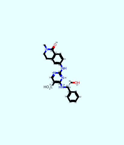 CN1CCc2cc(Nc3ncc(C(=O)O)c(N[C@H](CO)c4ccccc4)n3)ccc2C1=O